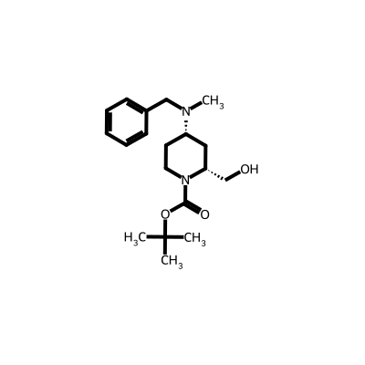 CN(Cc1ccccc1)[C@H]1CCN(C(=O)OC(C)(C)C)[C@@H](CO)C1